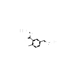 COC(=O)c1cc(C=NO)ccc1Cl